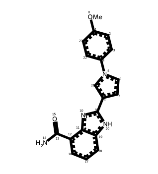 COc1ccc(-n2ccc(-c3nc4c(C(N)=O)cccc4[nH]3)c2)cc1